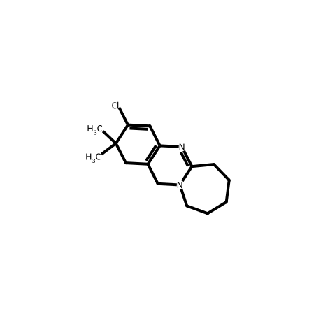 CC1(C)CC2=C(C=C1Cl)N=C1CCCCCN1C2